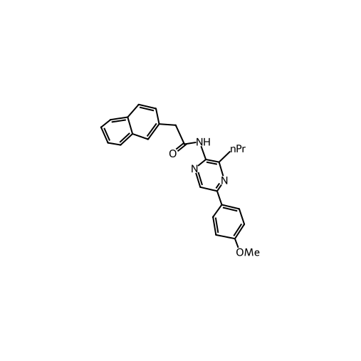 CCCc1nc(-c2ccc(OC)cc2)cnc1NC(=O)Cc1ccc2ccccc2c1